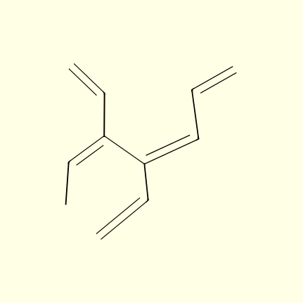 C=C/C=C(C=C)\C(C=C)=C/C